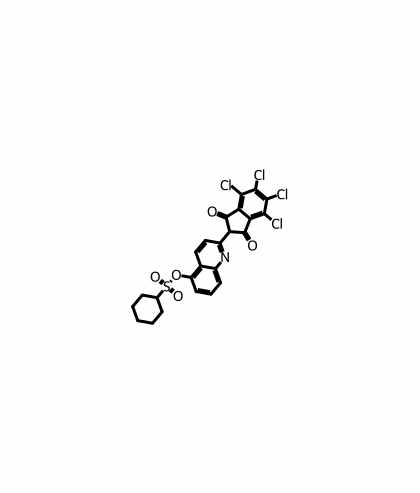 O=C1c2c(Cl)c(Cl)c(Cl)c(Cl)c2C(=O)C1c1ccc2c(OS(=O)(=O)C3CCCCC3)cccc2n1